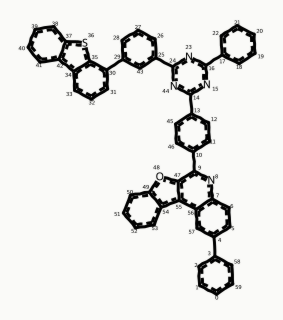 c1ccc(-c2ccc3nc(-c4ccc(-c5nc(-c6ccccc6)nc(-c6cccc(-c7cccc8c7sc7ccccc78)c6)n5)cc4)c4oc5ccccc5c4c3c2)cc1